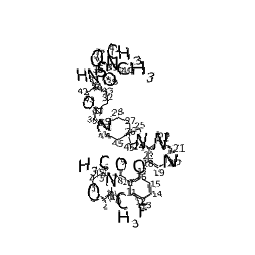 C[C@@H]1COC[C@H](C)N1C(=O)c1cc(F)ccc1Oc1cncnc1N1CC2(CCN(C[C@@H]3CC[C@@H](NS(=O)(=O)N(C)C)CO3)CC2)C1